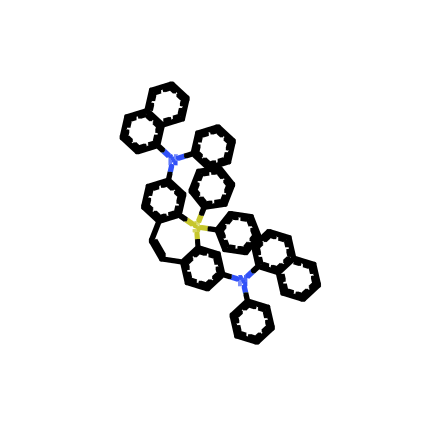 C1=Cc2ccc(N(c3ccccc3)c3cccc4ccccc34)cc2S(c2ccccc2)(c2ccccc2)c2cc(N(c3ccccc3)c3cccc4ccccc34)ccc21